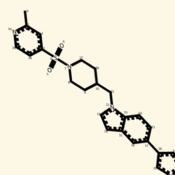 Cc1cc(S(=O)(=O)N2CCC(Cn3ccc4cc(-c5cn[nH]c5)ccc43)CC2)ccn1